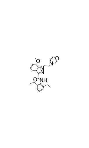 CCc1cccc(CC)c1NC(=O)c1nn(CCN2CCOCC2)c2c(OC)cccc12